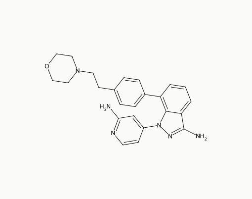 Nc1cc(-n2nc(N)c3cccc(-c4ccc(CCN5CCOCC5)cc4)c32)ccn1